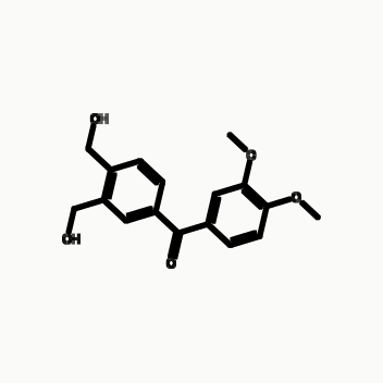 COc1ccc(C(=O)c2ccc(CO)c(CO)c2)cc1OC